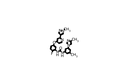 Cc1cc(NC(=O)Nc2cc(Oc3ccnc(-c4cnn(C)c4)c3)ccc2F)cc(-n2cnc(C)c2)c1